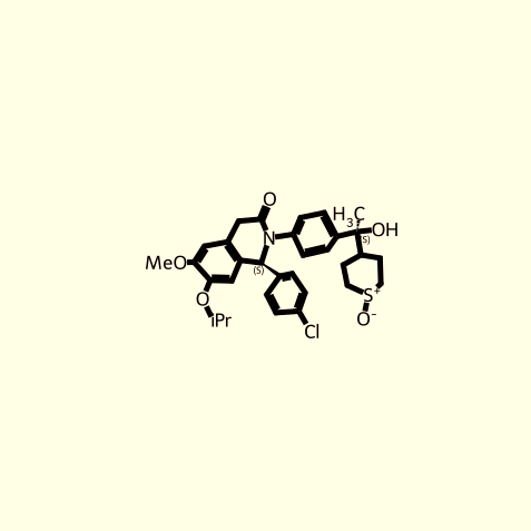 COc1cc2c(cc1OC(C)C)[C@H](c1ccc(Cl)cc1)N(c1ccc([C@@](C)(O)C3CC[S+]([O-])CC3)cc1)C(=O)C2